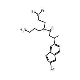 CCN(CC)CCN(CCCN)C(=O)CN(C)c1ccc2cc(C(C)=O)ccc2c1